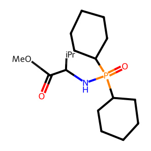 COC(=O)C(NP(=O)(C1CCCCC1)C1CCCCC1)C(C)C